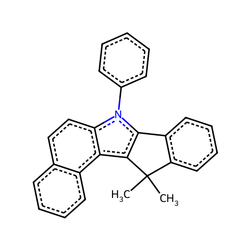 CC1(C)c2ccccc2-c2c1c1c3ccccc3ccc1n2-c1ccccc1